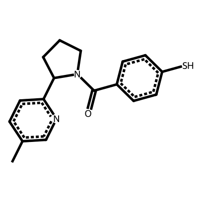 Cc1ccc(C2CCCN2C(=O)c2ccc(S)cc2)nc1